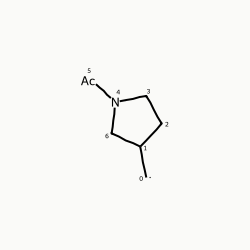 [CH2]C1CCN(C(C)=O)C1